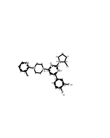 Cc1cccnc1N1CCN(c2cc(-c3ccc(F)c(F)c3)nc(N3CCCC3C)n2)CC1